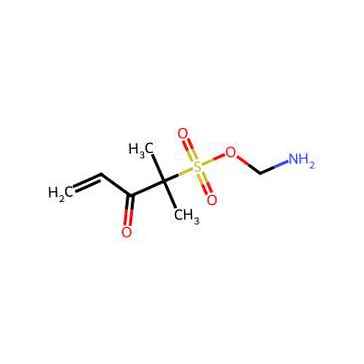 C=CC(=O)C(C)(C)S(=O)(=O)OCN